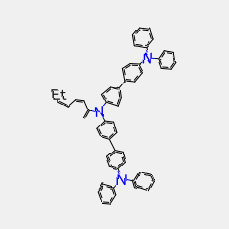 C=C(/C=C\C=C/CC)N(c1ccc(-c2ccc(N(c3ccccc3)c3ccccc3)cc2)cc1)c1ccc(-c2ccc(N(c3ccccc3)c3ccccc3)cc2)cc1